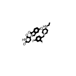 CCN[C@H]1CCN(Cc2ccc(F)cc2I)C[C@@H]1Oc1ccc2c(c1)CN(C1CCC(=O)NC1=O)C2=O